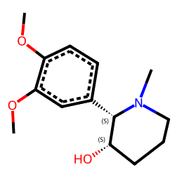 COc1ccc([C@H]2[C@@H](O)CCCN2C)cc1OC